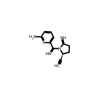 C#C[C@@H]1CCC(=N)N1C(=N)c1cccc(N)n1